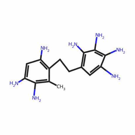 Cc1c(N)c(N)cc(N)c1CCc1cc(N)c(N)c(N)c1N